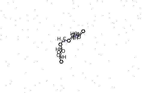 C/C(=C\Cc1cccc(CNC(=O)C(=O)CC(=O)NCc2ccccc2)c1)c1cccc(CNC(=O)/C=C(\O)C(=O)NCc2ccccc2)c1